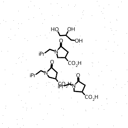 CC(C)CN1CC(C(=O)O)CC1=O.CC(C)CN1CC(C(=O)O)CC1=O.CC(C)CN1CC(C(=O)O)CC1=O.OCC(O)CO